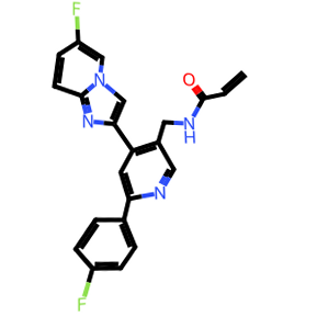 C=CC(=O)NCc1cnc(-c2ccc(F)cc2)cc1-c1cn2cc(F)ccc2n1